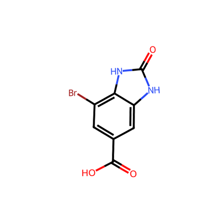 O=C(O)c1cc(Br)c2[nH]c(=O)[nH]c2c1